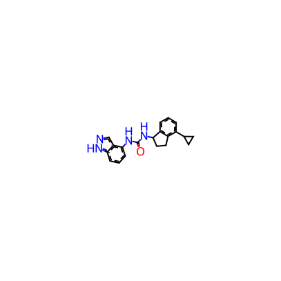 O=C(Nc1cccc2[nH]ncc12)NC1CCc2c(C3CC3)cccc21